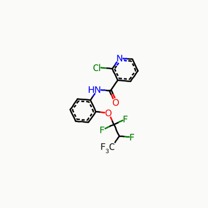 O=C(Nc1ccccc1OC(F)(F)C(F)C(F)(F)F)c1cccnc1Cl